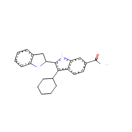 COC(=O)c1ccc2c(C3CCCCC3)c(C3Cc4ccccc4N3)[nH]c2c1